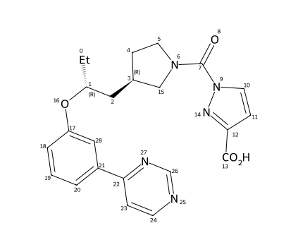 CC[C@H](C[C@H]1CCN(C(=O)n2ccc(C(=O)O)n2)C1)Oc1cccc(-c2ccncn2)c1